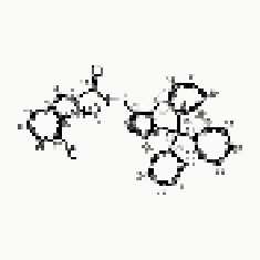 Cc1c(CN2Cn3c(cc4cccc(Cl)c43)C2=O)ncn1C(c1ccccc1)(c1ccccc1)c1ccccc1